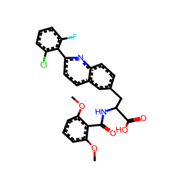 COc1cccc(OC)c1C(=O)NC(Cc1ccc2nc(-c3c(F)cccc3Cl)ccc2c1)C(=O)O